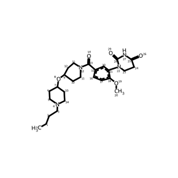 CCCCN1CCC(OC2CCN(C(=O)c3ccc(OC)c(N4CCC(=O)NC4=O)c3)CC2)CC1